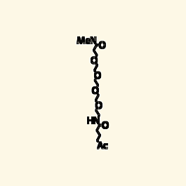 CNC(=O)CCOCCOCCOCCOCCNC(=O)CCCC(C)=O